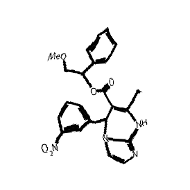 COCC(OC(=O)C1=C(C)Nc2nccn2C1c1cccc([N+](=O)[O-])c1)c1ccccc1